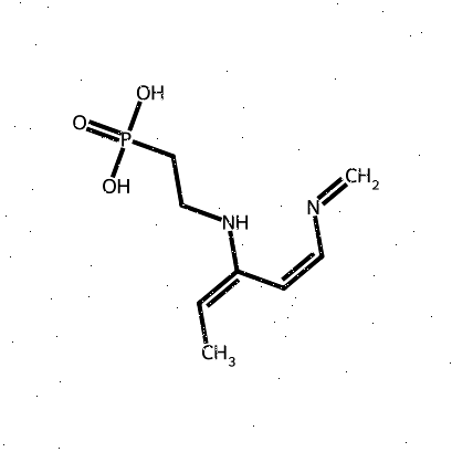 C=N/C=C\C(=C/C)NCCP(=O)(O)O